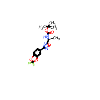 C[C@H](NC(=O)OC(C)(C)C)c1nc(-c2ccc3c(c2)OC(F)(F)O3)no1